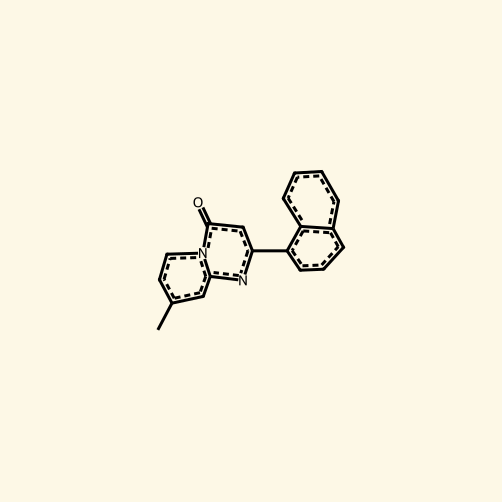 Cc1ccn2c(=O)cc(-c3cccc4ccccc34)nc2c1